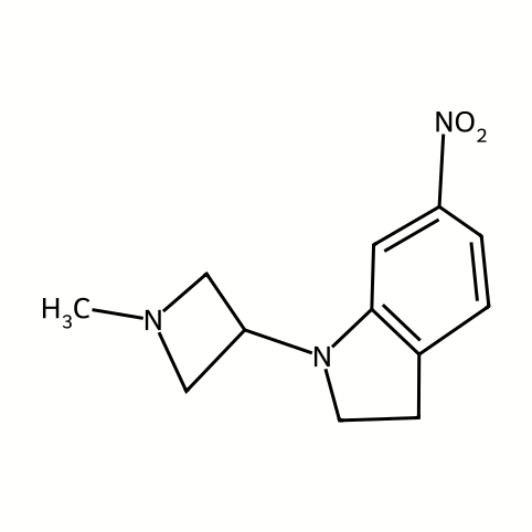 CN1CC(N2CCc3ccc([N+](=O)[O-])cc32)C1